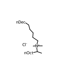 CCCCCCCCCCCCCCC[N+](C)(C)C(C)CCCCCCCC.[Cl-]